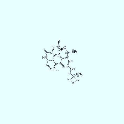 C=C(Nc1ccc(C)c(-c2cc(OCC3(N)CCC3)nc(N(CCC)CCC)c2)c1)c1ccnc(F)c1